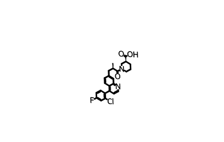 C[C@H](Cc1ccc2c(-c3ccc(F)cc3Cl)ccnc2c1)C(=O)N1CCC[C@H](C(=O)O)C1